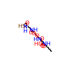 CCCCCCCC(=O)NC(CCC(=O)NCCOCCOCC(=O)NCCCC[C@H](NS)C(C)=O)C(=O)O